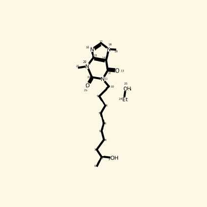 CC(O)CCCCCCCCn1c(=O)c2c(ncn2C)n(C)c1=O.CCO